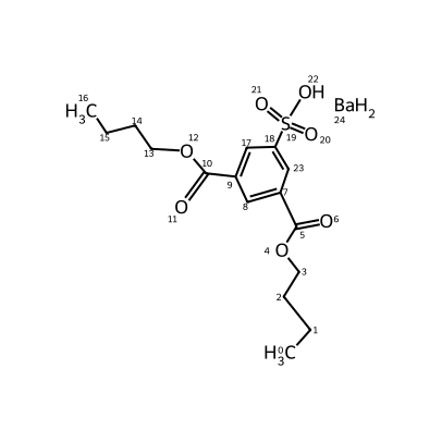 CCCCOC(=O)c1cc(C(=O)OCCCC)cc(S(=O)(=O)O)c1.[BaH2]